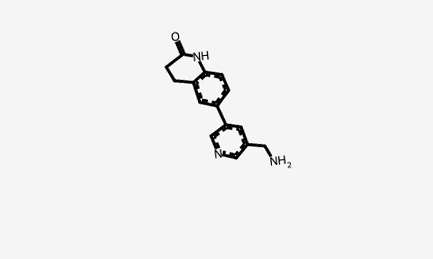 NCc1cncc(-c2ccc3c(c2)CCC(=O)N3)c1